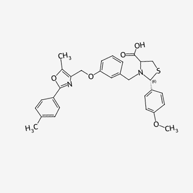 COc1ccc([C@H]2SCC(C(=O)O)N2Cc2cccc(OCc3nc(-c4ccc(C)cc4)oc3C)c2)cc1